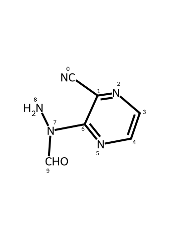 N#Cc1nccnc1N(N)C=O